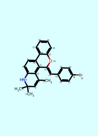 CC1=CC(C)(C)Nc2ccc3c(c21)C(=Cc1ccc(Br)cc1)Oc1ccccc1-3